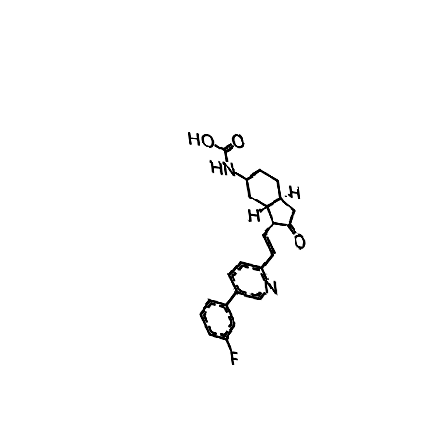 O=C(O)NC1CC[C@H]2CC(=O)[C@@H](C=Cc3ccc(-c4cccc(F)c4)cn3)[C@@H]2C1